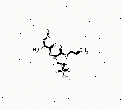 C=CCOC(=O)[C@H](CNS(C)(=O)=O)OC(=O)[C@H](C)CSC(C)=O